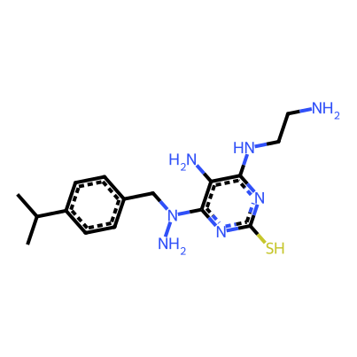 CC(C)c1ccc(CN(N)c2nc(S)nc(NCCN)c2N)cc1